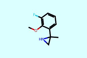 COc1c(F)cccc1C1(C)CN1